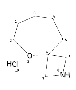 C1CCOC2(CC1)CNC2.Cl